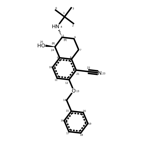 CC(C)(C)N[C@@H]1CCc2c(ccc(OCc3ccccc3)c2C#N)[C@H]1O